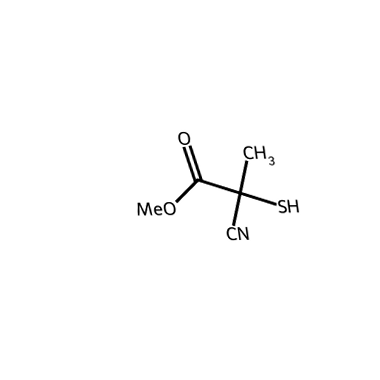 COC(=O)C(C)(S)C#N